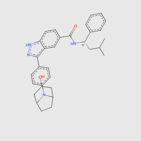 CC(C)C[C@H](NC(=O)c1ccc2[nH]nc(-c3ccc(N4C5CCC4CC(O)C5)cc3)c2c1)c1ccccc1